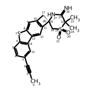 CC#Cc1ccc2sc3cc4c(cc3c2c1)[C@]1(C4)CS(=O)(=O)C(C)(C)C(=N)N1